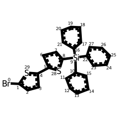 Brc1ccc(-c2ccc([Si](c3ccccc3)(c3ccccc3)c3ccccc3)s2)s1